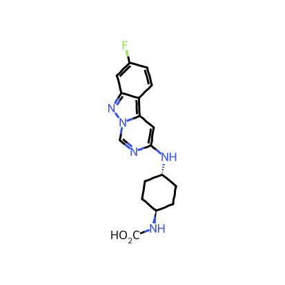 O=C(O)N[C@H]1CC[C@H](Nc2cc3c4ccc(F)cc4nn3cn2)CC1